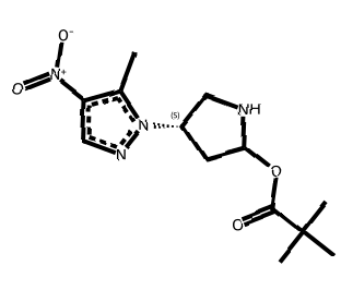 Cc1c([N+](=O)[O-])cnn1[C@@H]1CNC(OC(=O)C(C)(C)C)C1